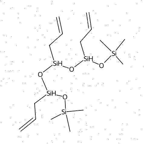 C=CC[SiH](O[SiH](CC=C)O[Si](C)(C)C)O[SiH](CC=C)O[Si](C)(C)C